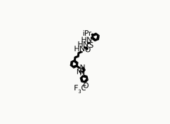 CC(C)c1ccccc1NC(=S)NC(=O)NCCCCc1cccc(-c2ncn(-c3ccc(OC(F)(F)F)cc3)n2)c1